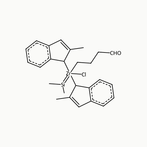 CC1=Cc2ccccc2[CH]1[Zr]([Cl])([CH2]CCC=O)([CH]1C(C)=Cc2ccccc21)=[Si](C)C